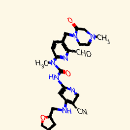 CN1CCN(Cc2ccc(N(C)C(=O)Nc3cc(NCC4CCCO4)c(C#N)cn3)nc2C=O)C(=O)C1